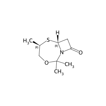 C[C@@H]1COC(C)(C)N2C(=O)C[C@H]2S1